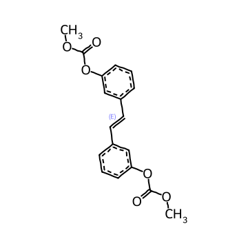 COC(=O)Oc1cccc(/C=C/c2cccc(OC(=O)OC)c2)c1